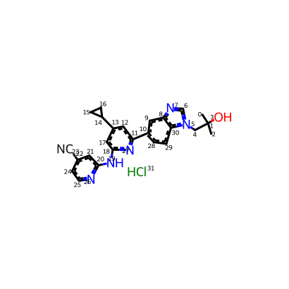 CC(C)(O)Cn1cnc2cc(-c3cc(C4CC4)cc(Nc4cc(C#N)ccn4)n3)ccc21.Cl